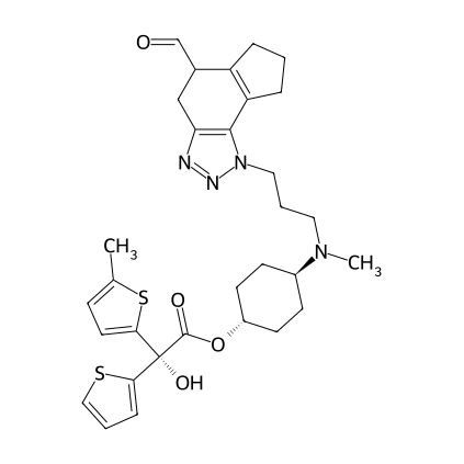 Cc1ccc([C@@](O)(C(=O)O[C@H]2CC[C@H](N(C)CCCn3nnc4c3C3=C(CCC3)C(C=O)C4)CC2)c2cccs2)s1